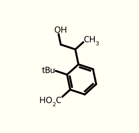 CC(CO)c1cccc(C(=O)O)c1C(C)(C)C